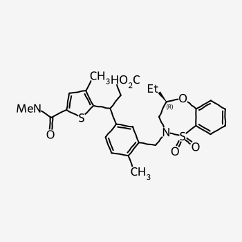 CC[C@@H]1CN(Cc2cc(C(CC(=O)O)c3sc(C(=O)NC)cc3C)ccc2C)S(=O)(=O)c2ccccc2O1